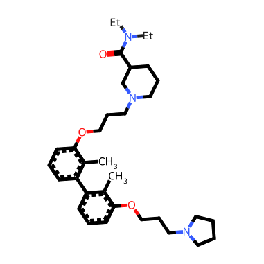 CCN(CC)C(=O)C1CCCN(CCCOc2cccc(-c3cccc(OCCCN4CCCC4)c3C)c2C)C1